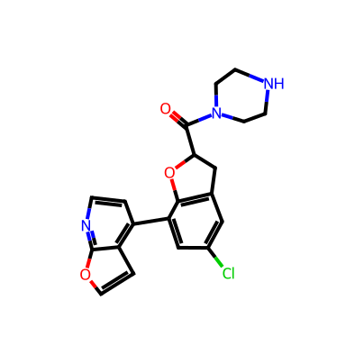 O=C(C1Cc2cc(Cl)cc(-c3ccnc4occc34)c2O1)N1CCNCC1